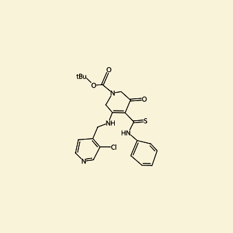 CC(C)(C)OC(=O)N1CC(=O)C(C(=S)Nc2ccccc2)=C(NCc2ccncc2Cl)C1